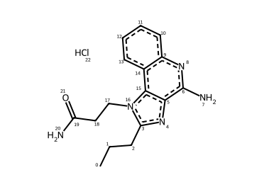 CCCc1nc2c(N)nc3ccccc3c2n1CCC(N)=O.Cl